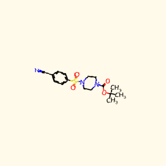 CC(C)(C)OC(=O)N1CCN(S(=O)(=O)c2ccc(C#N)cc2)CC1